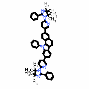 CC1(C)N=C(c2ccccc2)N(c2ccc(-c3ccc4c(ccc5c6ccc(-c7ccc(N8C(c9ccccc9)=NC(C)(C)C8(C)C)nc7)cc6n(-c6ccccc6)c45)c3)cn2)C1(C)C